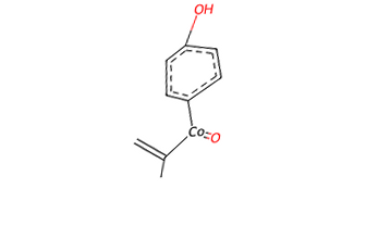 C=[C](C)[Co](=[O])[c]1ccc(O)cc1